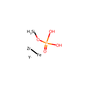 O=P(O)(O)O[SiH3].[Fe][Zr].[Y]